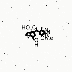 COc1cc(C(CC(=O)O)c2cc(CO)c3sccc3c2)c(C)c2nnn(C)c12